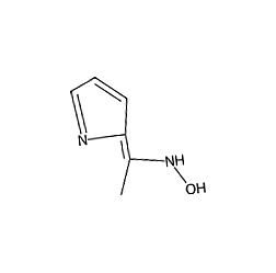 CC(NO)=C1C=CC=N1